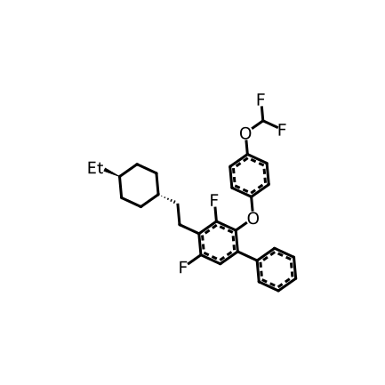 CC[C@H]1CC[C@H](CCc2c(F)cc(-c3ccccc3)c(Oc3ccc(OC(F)F)cc3)c2F)CC1